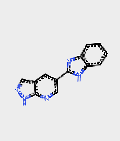 c1ccc2[nH]c(-c3cnc4[nH]ncc4c3)nc2c1